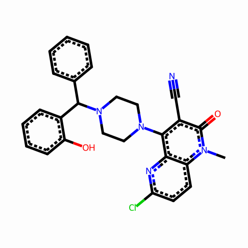 Cn1c(=O)c(C#N)c(N2CCN(C(c3ccccc3)c3ccccc3O)CC2)c2nc(Cl)ccc21